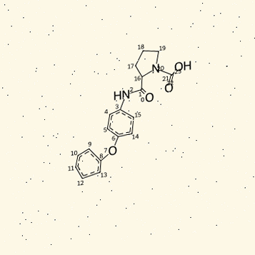 O=C(Nc1ccc(Oc2ccccc2)cc1)C1CCCN1C(=O)O